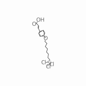 O=C(O)C=Cc1ccc(OCCCCCCCC[Si](Cl)(Cl)Cl)cc1